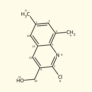 Cc1cc(C)c2nc(Cl)c(CO)cc2c1